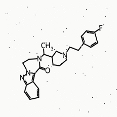 CC(C1CCCN(CCc2ccc(F)cc2)C1)N1CCn2nc3ccccc3c2C1=O